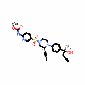 C#CCC(O)(c1ccc(N2CCN(S(=O)(=O)c3ccc(NC(=O)OC(C)(C)C)nc3)C[C@@H]2C#CC)cc1)C(F)(F)F